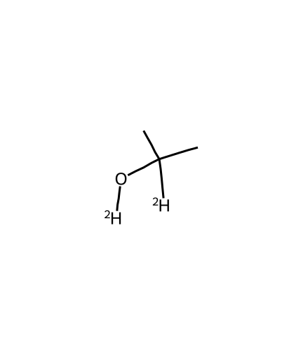 [2H]OC([2H])(C)C